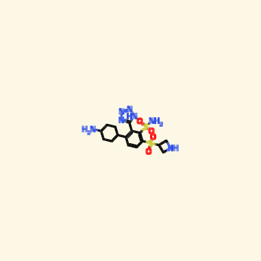 NC1CCC(c2ccc(S(=O)(=O)C3CNC3)c(S(N)(=O)=O)c2-c2nnn[nH]2)CC1